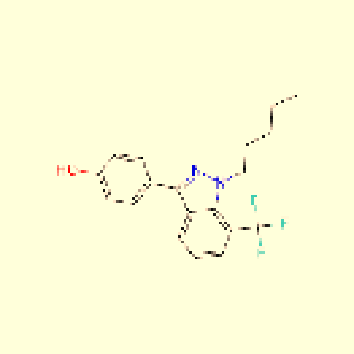 CCCCCn1nc(-c2ccc(O)cc2)c2cccc(C(F)(F)F)c21